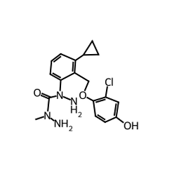 CN(N)C(=O)N(N)c1cccc(C2CC2)c1COc1ccc(O)cc1Cl